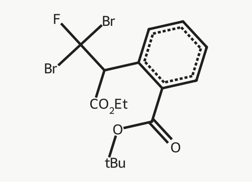 CCOC(=O)C(c1ccccc1C(=O)OC(C)(C)C)C(F)(Br)Br